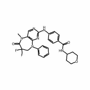 CN1C(=O)C(F)(F)CN(c2ccccc2)c2nc(Nc3ccc(C(=O)NC4CCOCC4)cc3)ncc21